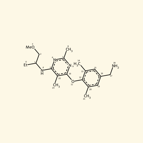 CCC(COC)Nc1nc(C)nc(Oc2c(C)cc(CN)cc2C)c1C